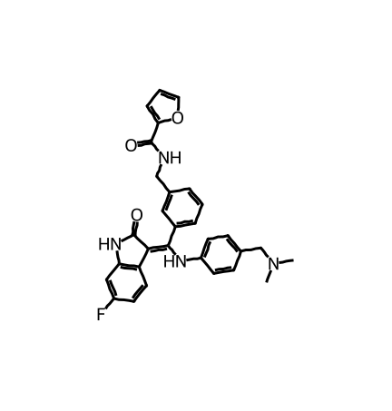 CN(C)Cc1ccc(NC(=C2C(=O)Nc3cc(F)ccc32)c2cccc(CNC(=O)c3ccco3)c2)cc1